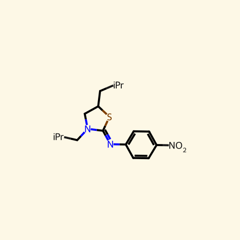 CC(C)CC1CN(CC(C)C)C(=Nc2ccc([N+](=O)[O-])cc2)S1